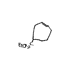 CCOC(=O)C1CC/C=C\CCC1